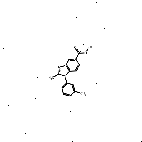 COC(=O)c1ccc2c(c1)nc(C)n2-c1cccc(C)c1